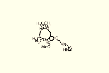 COCOc1cc(OCCCCNCc2ncc[nH]2)cc2c1C(=O)O[C@@H](C)[C@H](C)/C=C\C[C@H]1OC(C)(C)O[C@H]1C/C=C/2